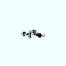 O=C(NCCN1CCOCC1)Nc1snnc1C(=O)NCc1ccc(Cl)cc1